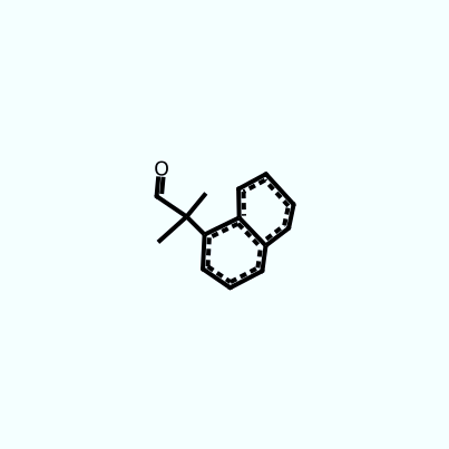 CC(C)(C=O)c1cccc2ccccc12